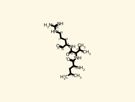 CC(C)CC(N)C(=O)NC(C(=O)NC(C=O)CCCNC(=N)N)C(C)C